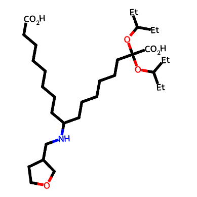 CCC(CC)OC(CCCCCCC(CCCCCCCC(=O)O)NCC1CCOC1)(OC(CC)CC)C(=O)O